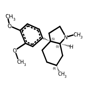 COc1ccc([C@@]23CC[C@@H](C)C[C@@H]2N(C)CC3)cc1OC